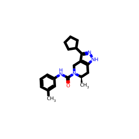 Cc1cccc(NC(=O)N2Cc3c(C4CCCC4)n[nH]c3C[C@H]2C)c1